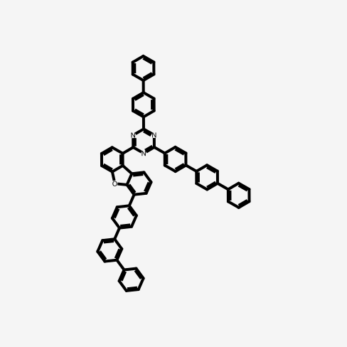 c1ccc(-c2ccc(-c3ccc(-c4nc(-c5ccc(-c6ccccc6)cc5)nc(-c5cccc6oc7c(-c8ccc(-c9cccc(-c%10ccccc%10)c9)cc8)cccc7c56)n4)cc3)cc2)cc1